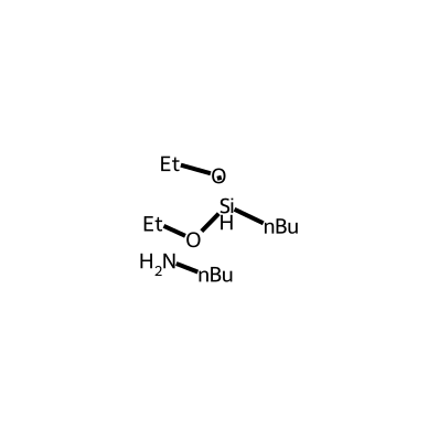 CCCCN.CCCC[SiH](OCC)OCC